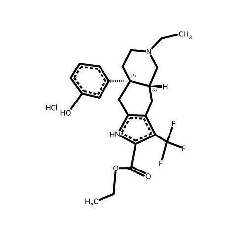 CCOC(=O)c1[nH]c2c(c1C(F)(F)F)C[C@H]1CN(CC)CC[C@]1(c1cccc(O)c1)C2.Cl